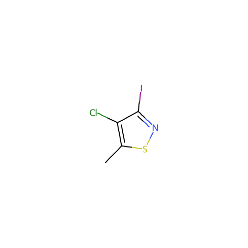 Cc1snc(I)c1Cl